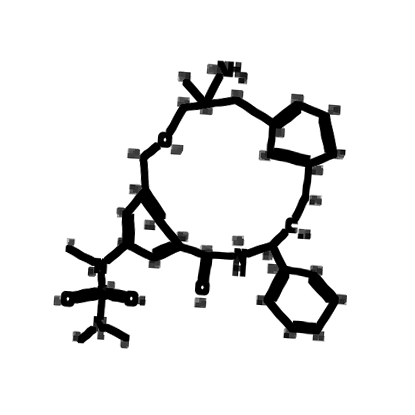 CN(C)S(=O)(=O)N(C)c1cc2cc(c1)C(=O)NC(c1ccccc1)CCc1cccc(c1)CC(C)(N)COC2